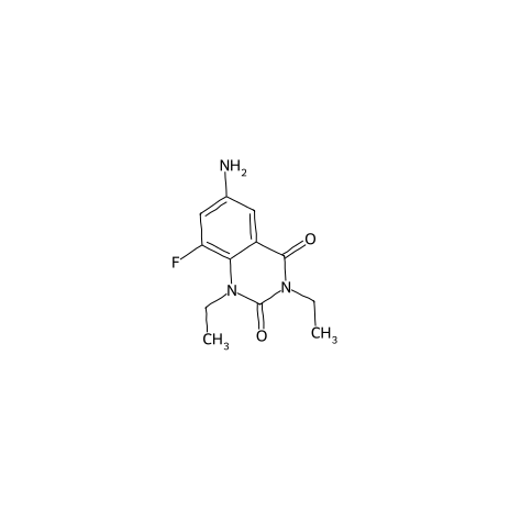 CCn1c(=O)c2cc(N)cc(F)c2n(CC)c1=O